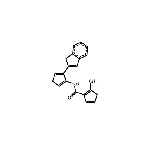 CC1=C(C(=O)NC2=CCC=C2C2=Cc3ccccc3C2)C=CC1